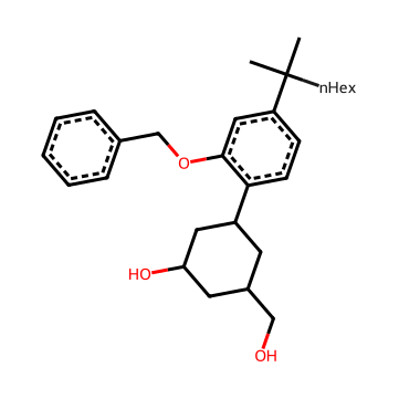 CCCCCCC(C)(C)c1ccc(C2CC(O)CC(CO)C2)c(OCc2ccccc2)c1